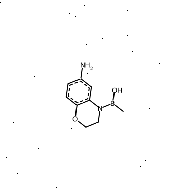 CB(O)N1CCOc2ccc(N)cc21